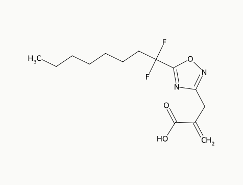 C=C(Cc1noc(C(F)(F)CCCCCCC)n1)C(=O)O